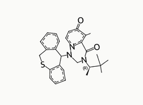 Cc1c2n(ccc1=O)N(C1c3ccccc3CSc3ccccc31)CN([C@H](C)C(C)(C)C)C2=O